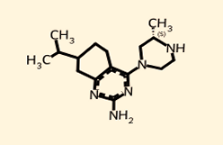 CC(C)C1CCc2c(nc(N)nc2N2CCN[C@@H](C)C2)C1